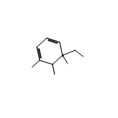 FC1=CC=CC(F)(CBr)C1F